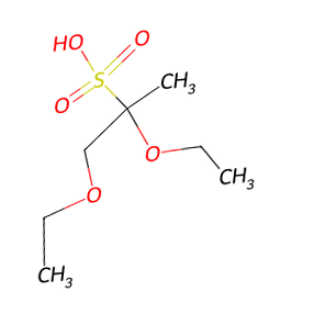 CCOCC(C)(OCC)S(=O)(=O)O